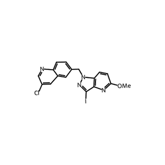 COc1ccc2c(n1)c(I)nn2Cc1ccc2ncc(Cl)cc2c1